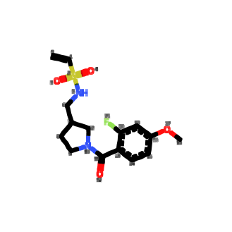 C=CS(=O)(=O)NCC1CCN(C(=O)c2ccc(OC)cc2F)C1